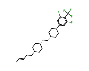 C/C=C/CC[C@H]1CC[C@H](CC[C@H]2CC[C@H](c3cc(F)c(C(F)(F)F)c(F)c3)CC2)CC1